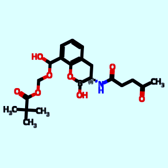 CC(=O)CCC(=O)N[C@H]1Cc2cccc(C(O)OCOC(=O)C(C)(C)C)c2OB1O